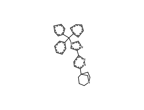 c1ccc(C(c2ccccc2)(c2ccccc2)n2cnc(-c3ccc(C45CCCN(CC4)C5)nn3)c2)cc1